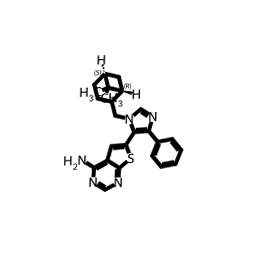 CC1(C)[C@H]2CCC(Cn3cnc(-c4ccccc4)c3-c3cc4c(N)ncnc4s3)[C@H]1C2